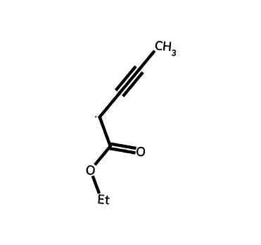 CC#C[CH]C(=O)OCC